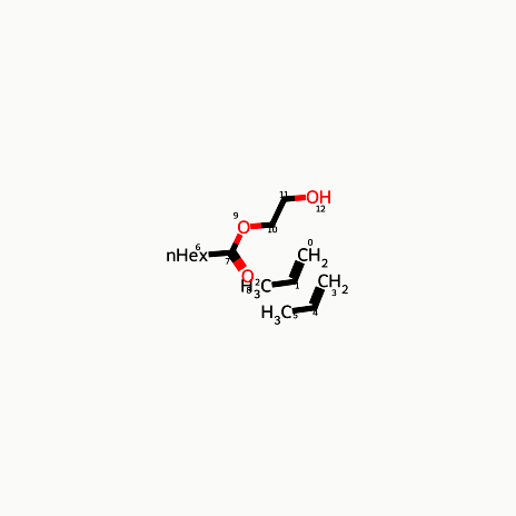 C=CC.C=CC.CCCCCCC(=O)OCCO